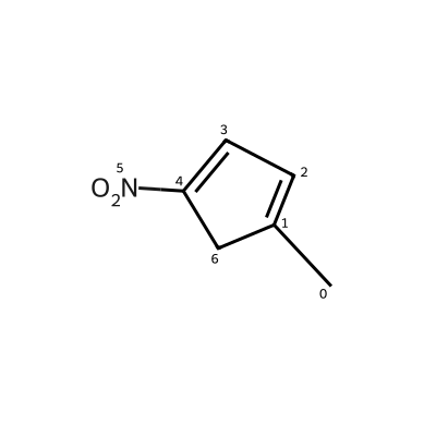 CC1=CC=C([N+](=O)[O-])C1